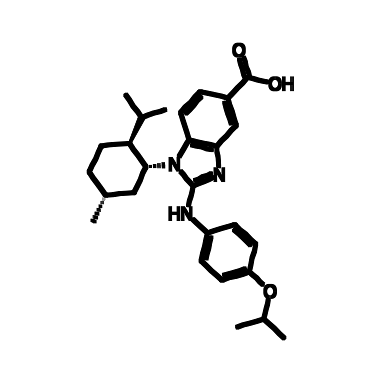 CC(C)Oc1ccc(Nc2nc3cc(C(=O)O)ccc3n2[C@@H]2C[C@H](C)CC[C@H]2C(C)C)cc1